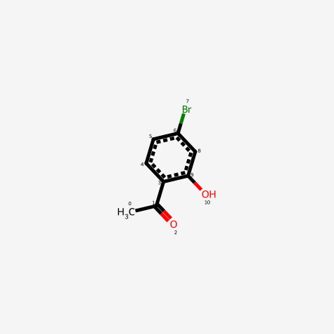 CC(=O)c1ccc(Br)cc1O